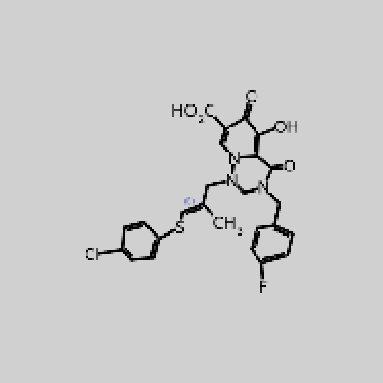 C/C(=C\Sc1ccc(Cl)cc1)CN1CN(Cc2ccc(F)cc2)C(=O)c2c(O)c(=O)c(C(=O)O)cn21